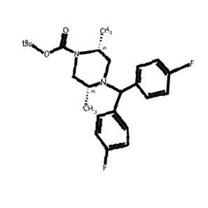 C[C@@H]1CN(C(c2ccc(F)cc2)c2ccc(F)cc2)[C@H](C)CN1C(=O)OC(C)(C)C